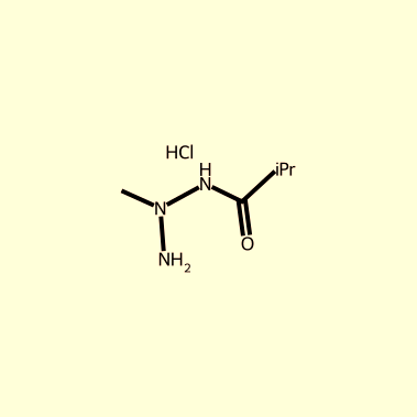 CC(C)C(=O)NN(C)N.Cl